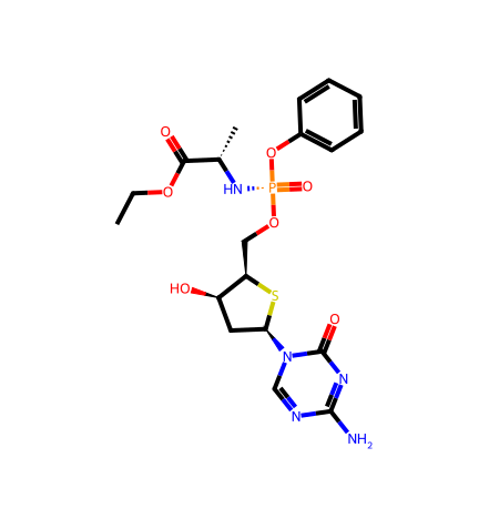 CCOC(=O)[C@H](C)N[P@](=O)(OC[C@H]1S[C@@H](n2cnc(N)nc2=O)C[C@H]1O)Oc1ccccc1